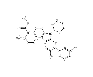 COC(=O)N1c2ccc3c(nc(CC(C(=O)O)c4cccc(F)c4)n3[C@H]3CCCOC3)c2CC[C@@H]1C